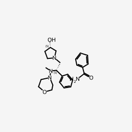 CN([C@H](CN1CC[C@H](O)C1)c1ccccc1)N1CCOCC1.NC(=O)c1ccccc1